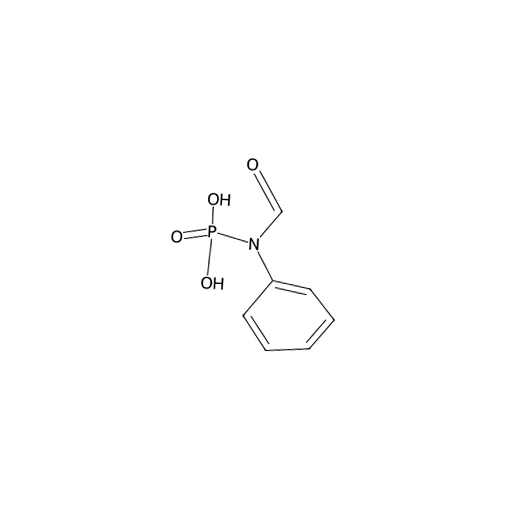 O=CN(c1ccccc1)P(=O)(O)O